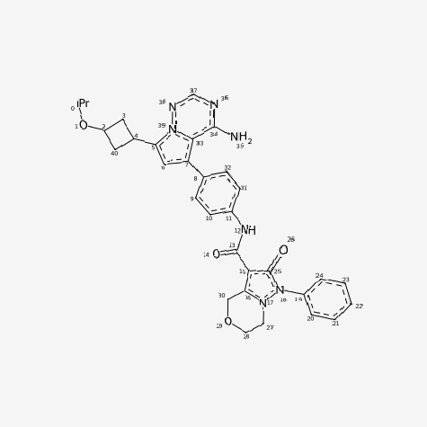 CC(C)OC1CC(c2cc(-c3ccc(NC(=O)c4c5n(n(-c6ccccc6)c4=O)CCOC5)cc3)c3c(N)ncnn23)C1